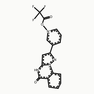 O=C(O[n+]1cccc(-c2cc3[nH]c(=O)c4ccccc4n3n2)c1)C(F)(F)F